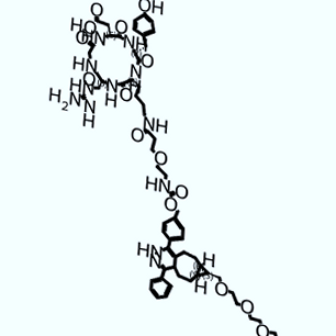 N=C(N)NC[C@@H]1NC(=O)[C@H](CCCCNC(=O)CCOCCNC(=O)OCc2ccc(C3=C4CC[C@@H]5[C@H](CCC4C(c4ccccc4)=NN3)[C@@H]5COCCOCCOCCF)cc2)NC(=O)[C@@H](Cc2ccc(O)cc2)NC(=O)[C@H](CC(=O)O)NC(=O)CNC1=O